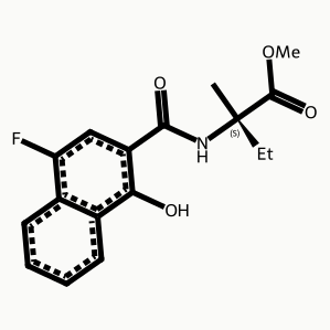 CC[C@](C)(NC(=O)c1cc(F)c2ccccc2c1O)C(=O)OC